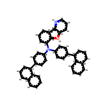 c1ccc2c(-c3ccc(N(c4ccc(-c5cccc6ccccc56)cc4)c4cccc5c4oc4cccnc45)cc3)cccc2c1